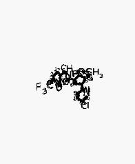 C[C@@H](NC(=O)c1cc(-c2ccc(Cl)cn2)cc(S(C)(=O)=O)c1)c1ccc(C(F)(F)F)[n+]([O-])c1